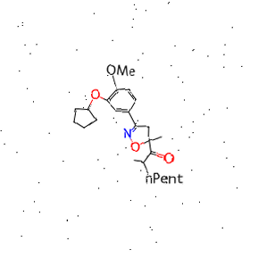 CCCCCC(C)C(=O)C1(C)CC(c2ccc(OC)c(OC3CCCC3)c2)=NO1